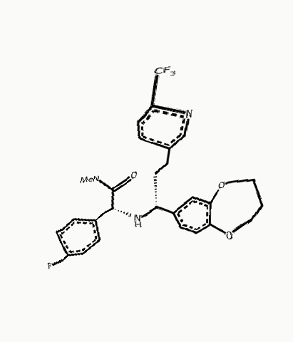 CNC(=O)[C@H](N[C@H](CCc1ccc(C(F)(F)F)nc1)c1ccc2c(c1)OCCCO2)c1ccc(F)cc1